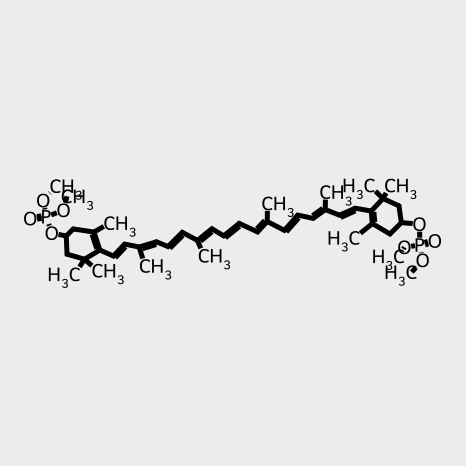 COP(=O)(OC)OC1CC(C)=C(/C=C/C(C)=C/C=C/C(C)=C/C=C/C=C(C)/C=C/C=C(C)/C=C/C2=C(C)CC(OP(=O)(OC)OC)CC2(C)C)C(C)(C)C1